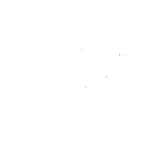 CCO[Si](O)(O)O.CO[Si](CCCS)(OC)OC